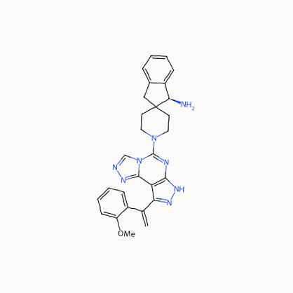 C=C(c1ccccc1OC)c1n[nH]c2nc(N3CCC4(CC3)Cc3ccccc3[C@H]4N)n3cnnc3c12